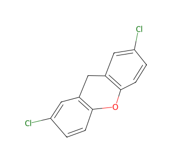 Clc1ccc2c(c1)Cc1cc(Cl)ccc1O2